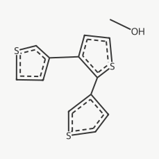 CO.c1cc(-c2ccsc2-c2ccsc2)cs1